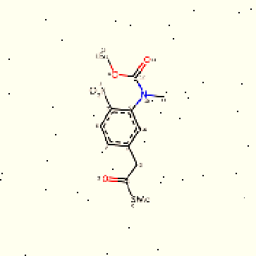 CSC(=O)Cc1ccc([N+](=O)[O-])c(N(C)C(=O)OC(C)(C)C)c1